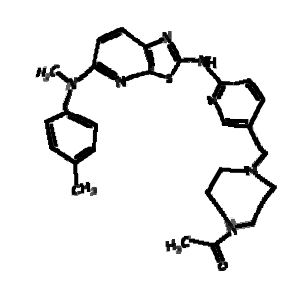 CC(=O)N1CCN(Cc2ccc(Nc3nc4ccc(N(C)c5ccc(C)cc5)nc4s3)nc2)CC1